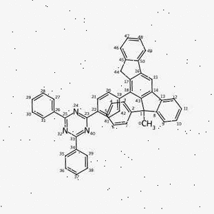 CC1(c2ccccc2)c2ccccc2-c2cc3c(c(-c4ccc(-c5nc(-c6ccccc6)nc(-c6ccccc6)n5)cc4)c21)Cc1ccccc1-3